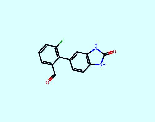 O=Cc1cccc(F)c1-c1ccc2[nH]c(=O)[nH]c2c1